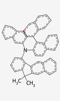 CC1(C)c2cc3ccccc3cc2-c2c(N(c3ccc4ccccc4c3)c3ccc4ccccc4c3-c3cccc4ccccc34)cccc21